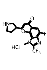 Cl.Cn1c(C(F)(F)F)nc2c(F)cc3c(=O)cc(C4CCNC4)oc3c21